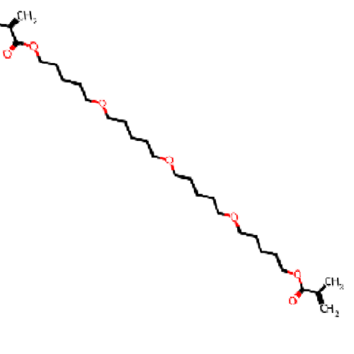 C=C(C)C(=O)OCCCCCOCCCCCOCCCCCOCCCCCOC(=O)C(=C)C